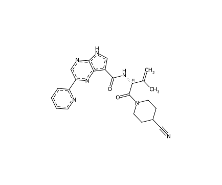 C=C(C)[C@@H](NC(=O)c1c[nH]c2ncc(-c3ccccn3)nc12)C(=O)N1CCC(C#N)CC1